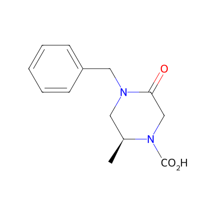 C[C@H]1CN(Cc2ccccc2)C(=O)CN1C(=O)O